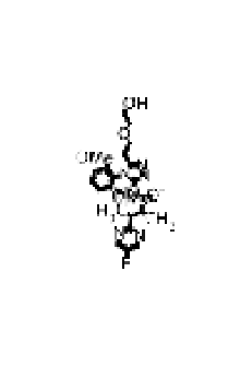 COc1cccc(OC)c1-n1c(CCOCCO)nnc1N[S+]([O-])C(C)C(C)c1ncc(F)cn1